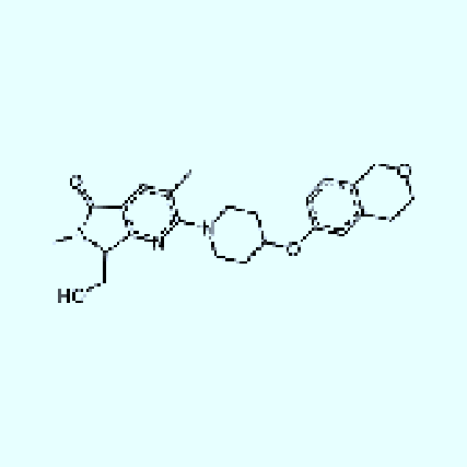 Cc1cc2c(nc1N1CCC(Oc3ccc4c(c3)CCOC4)CC1)C(CO)N(C)C2=O